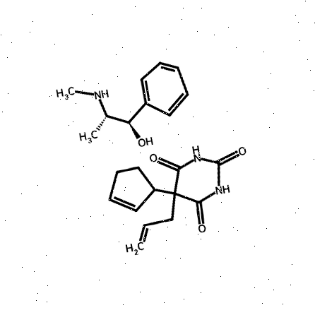 C=CCC1(C2C=CCC2)C(=O)NC(=O)NC1=O.CN[C@@H](C)[C@H](O)c1ccccc1